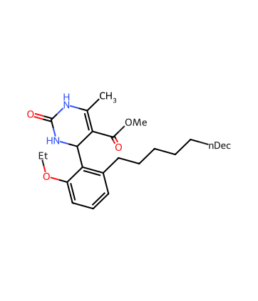 CCCCCCCCCCCCCCCc1cccc(OCC)c1C1NC(=O)NC(C)=C1C(=O)OC